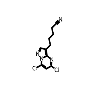 N#CCCCCc1cnn2c(Cl)cc(Cl)nc12